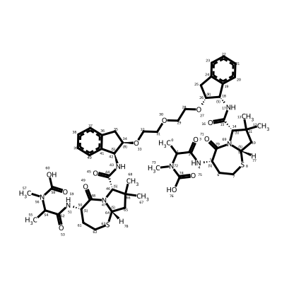 CC(C(=O)N[C@H]1CCS[C@H]2CC(C)(C)[C@@H](C(=O)N[C@H]3c4ccccc4C[C@H]3OCCOCCO[C@@H]3Cc4ccccc4[C@@H]3NC(=O)[C@H]3N4C(=O)[C@@H](NC(=O)C(C)N(C)C(=O)O)CCS[C@H]4CC3(C)C)N2C1=O)N(C)C(=O)O